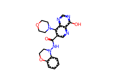 O=C(NN1CCOc2ccccc21)c1cnc2c(O)ncnc2c1N1CCOCC1